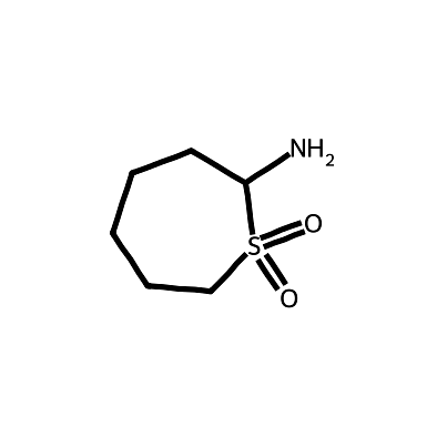 NC1CCCCCS1(=O)=O